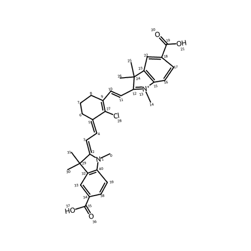 CN1C(=C/C=C2\CCCC(C=CC3=[N+](C)c4ccc(C(=O)O)cc4C3(C)C)=C2Cl)C(C)(C)c2cc(C(=O)O)ccc21